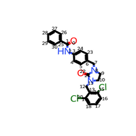 O=C(Nc1ccc(CN2CCN(Cc3c(Cl)cccc3Cl)C2=O)cc1)c1ccccc1